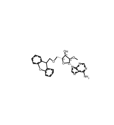 CO[C@@H]1[C@H](O)[C@@H](COCC2c3ccccc3Oc3ccccc32)O[C@H]1n1cnc2c(N)ncnc21